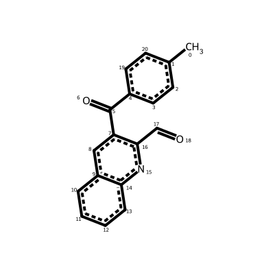 Cc1ccc(C(=O)c2cc3ccccc3nc2C=O)cc1